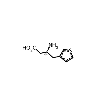 N[C@H](CC(=O)O)Cc1ccsc1